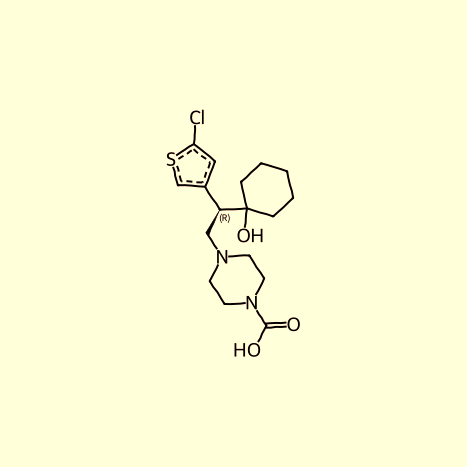 O=C(O)N1CCN(C[C@@H](c2csc(Cl)c2)C2(O)CCCCC2)CC1